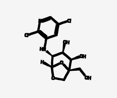 OC[C@@]12CO[C@@H](O1)[C@H](Nc1cc(Cl)cnc1Cl)[C@@H](O)[C@H]2O